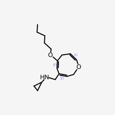 CCCCCO/C1=C/C(CNC2CC2)=C\CO/C=C\C1